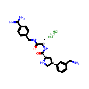 C[C@H](NC(=O)[C@H]1C[C@@H](c2cccc(CN)c2)CN1)C(=O)NCc1ccc(C(=N)N)cc1.Cl.Cl.Cl